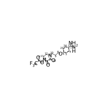 N=C(N)c1ccc(OCCCN2CCN(OC(=O)C(F)(F)F)C(=O)C2=O)cc1